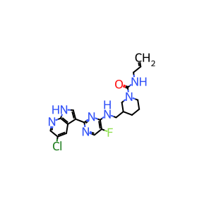 C=CCNC(=O)N1CCCC(CNc2nc(-c3c[nH]c4ncc(Cl)cc34)ncc2F)C1